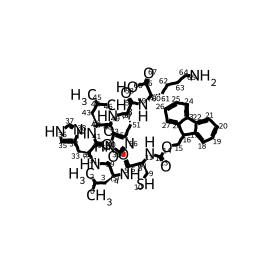 CC(C)C[C@H](NC(=O)[C@H](CS)NC(=O)OCC1c2ccccc2-c2ccccc21)C(=O)N[C@@H](Cc1c[nH]cn1)C(=O)N[C@@H](CC(C)C)C(=O)N[C@@H](Cc1c[nH]cn1)C(=O)N[C@@H](CCCCN)C(=O)O